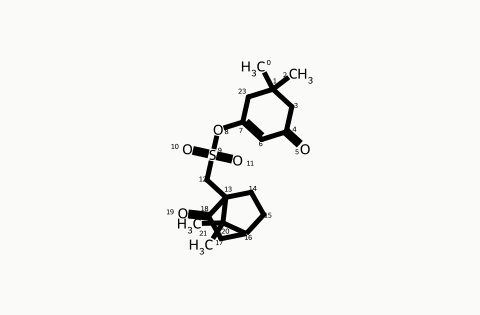 CC1(C)CC(=O)C=C(OS(=O)(=O)CC23CCC(CC2=O)C3(C)C)C1